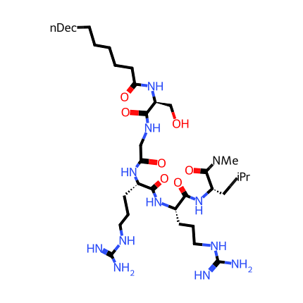 CCCCCCCCCCCCCCCC(=O)N[C@@H](CO)C(=O)NCC(=O)N[C@@H](CCCNC(=N)N)C(=O)N[C@@H](CCCNC(=N)N)C(=O)N[C@@H](CC(C)C)C(=O)NC